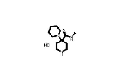 CNC(=O)C1(N2CCCCC2)CCNCC1.Cl